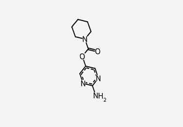 Nc1ncc(OC(=O)N2CCCCC2)cn1